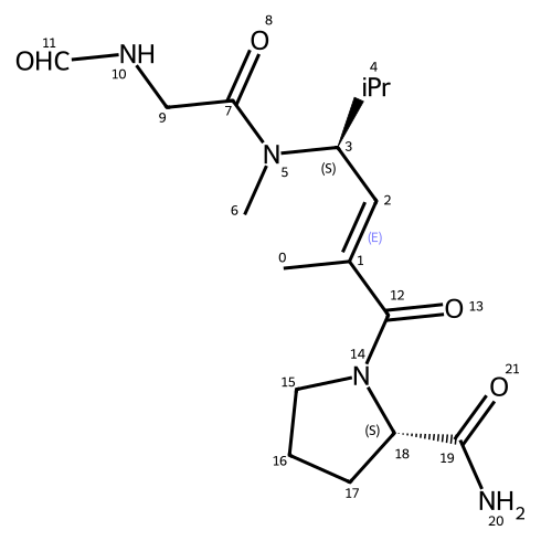 C/C(=C\[C@H](C(C)C)N(C)C(=O)CNC=O)C(=O)N1CCC[C@H]1C(N)=O